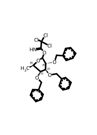 C[C@H]1OC(OC(=N)C(Cl)(Cl)Cl)[C@H](OCc2ccccc2)[C@@H](OCc2ccccc2)[C@H]1OCc1ccccc1